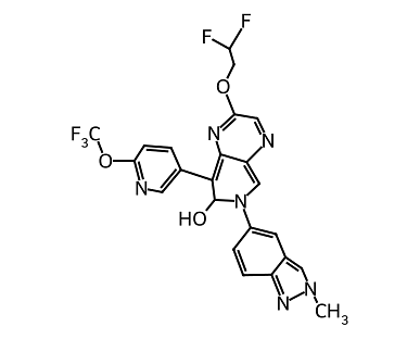 Cn1cc2cc(N3C=c4ncc(OCC(F)F)nc4=C(c4ccc(OC(F)(F)F)nc4)C3O)ccc2n1